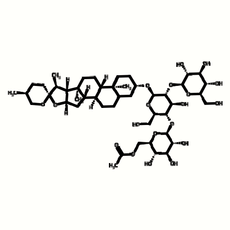 CC(=O)OC[C@H]1O[C@@H](O[C@H]2[C@H](O)[C@@H](O[C@@H]3O[C@H](CO)[C@@H](O)[C@H](O)[C@H]3O)[C@H](O[C@H]3CC[C@@]4(C)C(CC[C@H]5[C@@H]6C[C@@H]7O[C@]8(CC[C@H](C)CO8)[C@@H](C)[C@@H]7[C@@]6(C)CC[C@@H]54)C3)O[C@@H]2CO)[C@H](O)[C@@H](O)[C@@H]1O